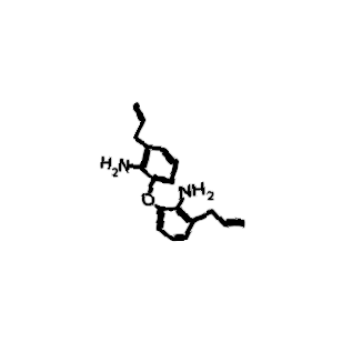 C=CCc1cccc(Oc2cccc(CC=C)c2N)c1N